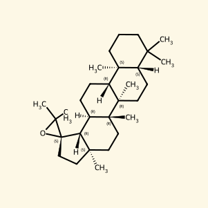 CC1(C)CCC[C@]2(C)[C@H]3CC[C@@H]4[C@@H]5[C@](C)(CC[C@]56OC6(C)C)CC[C@@]4(C)[C@]3(C)CC[C@@H]12